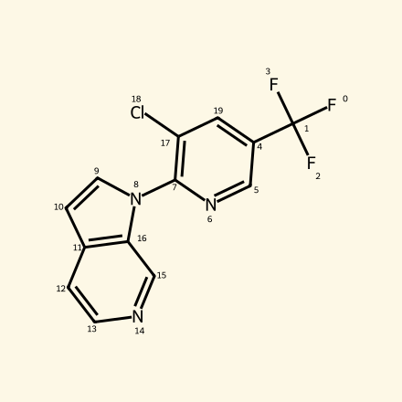 FC(F)(F)c1cnc(-n2ccc3ccncc32)c(Cl)c1